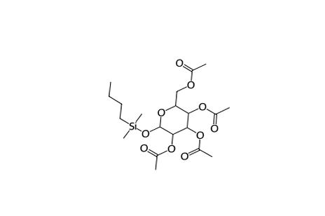 CCCC[Si](C)(C)OC1OC(COC(C)=O)C(OC(C)=O)C(OC(C)=O)C1OC(C)=O